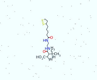 CC(C)C(C(=O)O)C(C(=O)NCCNC(=O)CCCCC1CCSS1)C(C)(C)C(C)C